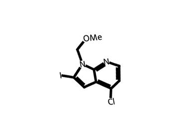 COCn1c(I)cc2c(Cl)ccnc21